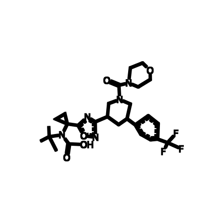 CC(C)(C)N(C(=O)O)C1(c2nc(C3CC(c4ccc(C(F)(F)F)cc4)CN(C(=O)N4CCOCC4)C3)no2)CC1